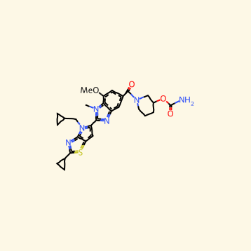 COc1cc(C(=O)N2CCCC(OC(N)=O)C2)cc2nc(-c3cc4sc(C5CC5)nc4n3CC3CC3)n(C)c12